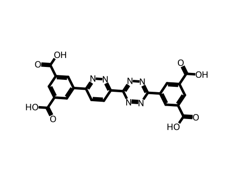 O=C(O)c1cc(C(=O)O)cc(-c2ccc(-c3nnc(-c4cc(C(=O)O)cc(C(=O)O)c4)nn3)nn2)c1